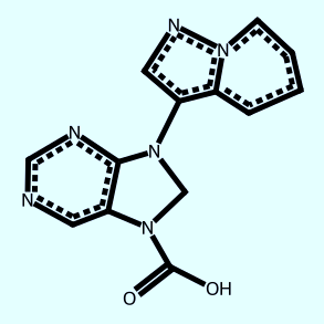 O=C(O)N1CN(c2cnn3ccccc23)c2ncncc21